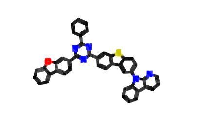 c1ccc(-c2nc(-c3ccc4c(c3)oc3ccccc34)nc(-c3ccc4c(c3)sc3ccc(-n5c6ccccc6c6cccnc65)cc34)n2)cc1